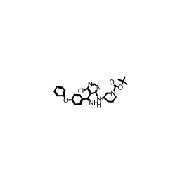 CC(C)(C)OC(=O)N1CCC[C@@H](Nc2ncnc(Cl)c2C(=N)c2ccc(Oc3ccccc3)cc2)C1